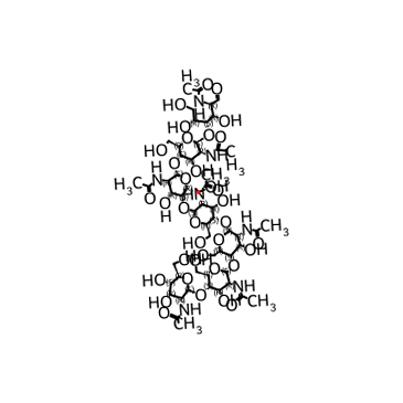 CC(=O)N[C@H]1[C@H](O[C@@H]([C@H](O)[C@H](C=O)NC(C)=O)[C@H](O)CO)O[C@H](CO)[C@@H](O[C@@H]2O[C@H](CO)[C@@H](O[C@@H]3O[C@H](CO)[C@@H](O[C@@H]4O[C@H](CO)[C@@H](O[C@@H]5O[C@H](CO)[C@@H](O[C@@H]6O[C@H](CO)[C@@H](O)[C@H](O)[C@H]6NC(C)=O)[C@H](O)[C@H]5NC(C)=O)[C@H](O)[C@H]4NC(C)=O)[C@H](O)[C@H]3NC(C)=O)[C@H](O)[C@H]2NC(C)=O)[C@@H]1O